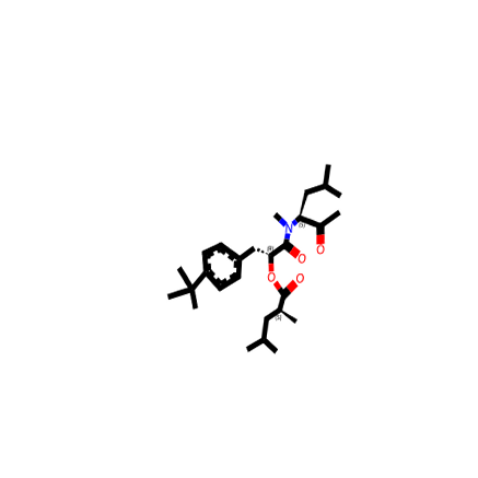 CC(=O)[C@H](CC(C)C)N(C)C(=O)[C@@H](Cc1ccc(C(C)(C)C)cc1)OC(=O)[C@@H](C)CC(C)C